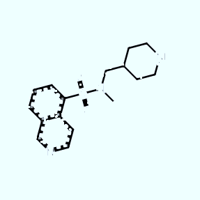 CN(CC1CCNCC1)S(=O)(=O)c1cccc2cnccc12